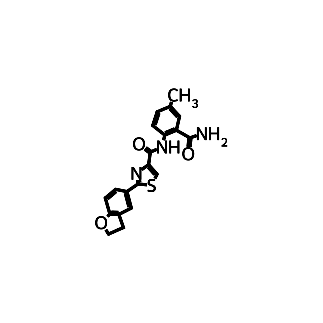 Cc1ccc(NC(=O)c2csc(-c3ccc4c(c3)CCO4)n2)c(C(N)=O)c1